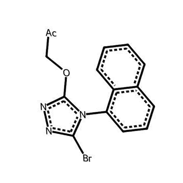 CC(=O)COc1nnc(Br)n1-c1cccc2ccccc12